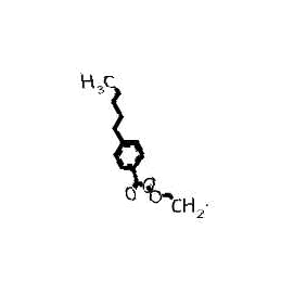 [CH2]COOC(=O)c1ccc(CCCCC)cc1